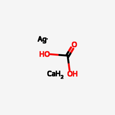 O=C(O)O.[Ag].[CaH2]